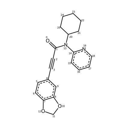 O=C(C#Cc1ccc2c(c1)OCO2)N(c1ccccn1)C1CCCCC1